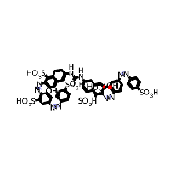 O=C(Nc1ccc2c(S(=O)(=O)O)c(/N=N\c3ccc(/N=N\c4ccc(S(=O)(=O)O)cc4)cc3S(=O)(=O)O)c(O)cc2c1)Nc1ccc2c(S(=O)(=O)O)c(/N=N\c3ccc(/N=N\c4ccc(S(=O)(=O)O)cc4)cc3S(=O)(=O)O)c(O)cc2c1